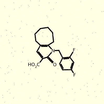 O=C(O)c1cc2c(n(Cc3ccc(F)cc3F)c1=O)CCCCCC2